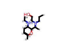 CCCN(CCO)C(C)C1OC(C)=CCC1NCC